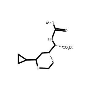 CCOC(=O)[C@@H](NC(=O)OC)[C@@H]1CCOC(C2CC2)C1